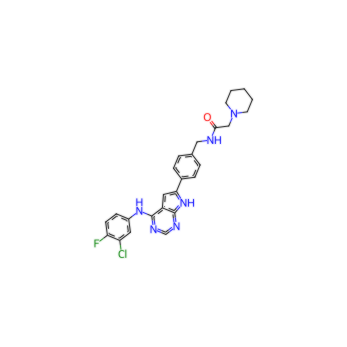 O=C(CN1CCCCC1)NCc1ccc(-c2cc3c(Nc4ccc(F)c(Cl)c4)ncnc3[nH]2)cc1